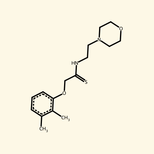 Cc1cccc(OCC(=S)NCCN2CCOCC2)c1C